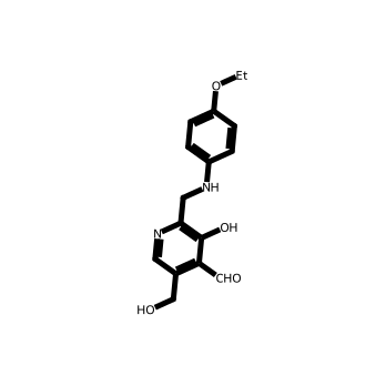 CCOc1ccc(NCc2ncc(CO)c(C=O)c2O)cc1